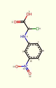 O=C(O)C(Cl)Nc1cccc([N+](=O)[O-])c1